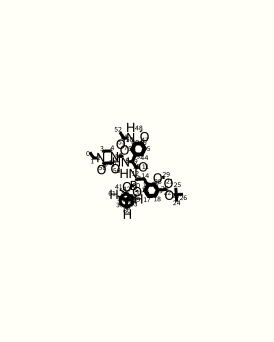 CCN1CCN(C(=O)NC(C(=O)NC(Cc2cccc(C(=O)OC(C)(C)C)c2OC)B2O[C@@H]3C[C@@H]4C[C@@H](C4(C)C)[C@]3(C)O2)c2ccc(OC)c(NC(C)=O)c2)C(=O)C1=O